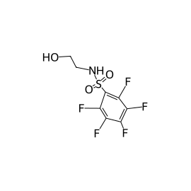 O=S(=O)(NCCO)c1c(F)c(F)c(F)c(F)c1F